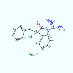 Cl.N=C(N)NC(=O)C(F)(Cc1ccccc1)c1ccccc1